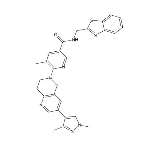 Cc1cc(C(=O)NCc2nc3ccccc3s2)cnc1N1CCc2ncc(-c3cn(C)nc3C)cc2C1